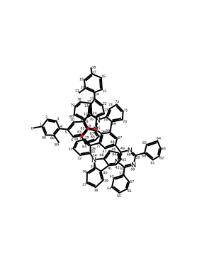 Cc1ccc(-c2ccc3c(c2)c2cc(-c4ccc(C)cc4C)ccc2n3-c2c(-c3ccccc3-n3c4ccccc4c4ccccc43)cc(-c3nc(-c4ccccc4)nc(-c4ccccc4)n3)cc2-c2ccccc2-n2c3ccccc3c3ccccc32)c(C)c1